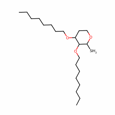 CCCCCCCCOC1CCOC([SiH3])C1OCCCCCCCC